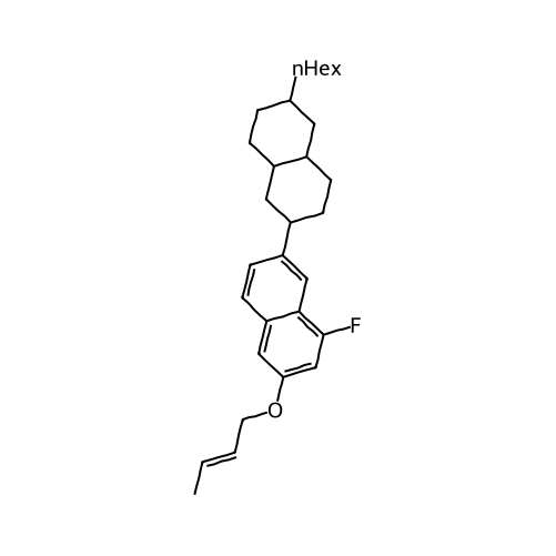 CC=CCOc1cc(F)c2cc(C3CCC4CC(CCCCCC)CCC4C3)ccc2c1